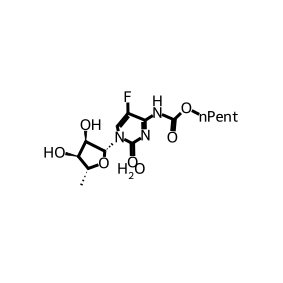 CCCCCOC(=O)Nc1nc(=O)n([C@@H]2O[C@H](C)[C@@H](O)[C@H]2O)cc1F.O